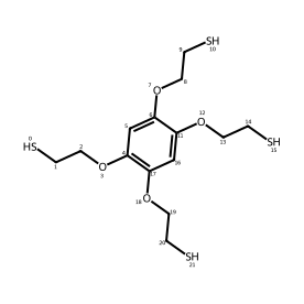 SCCOc1cc(OCCS)c(OCCS)cc1OCCS